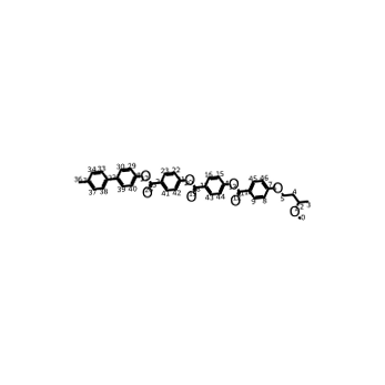 COC(C)CCOc1ccc(C(=O)Oc2ccc(C(=O)Oc3ccc(C(=O)Oc4ccc(-c5ccc(C)cc5)cc4)cc3)cc2)cc1